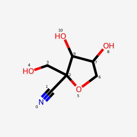 N#CC1(CO)OCC(O)C1O